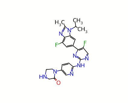 Cc1nc2c(F)cc(-c3nc(Nc4ccc(N5CCNCC5=O)cn4)ncc3F)cc2n1C(C)C